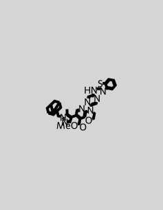 COC(=O)c1c(-c2cnn(CC34CC5CC(CC(C5)C3)C4)c2C)cnc2c1OCCN2c1cnc(Nc2nc3ccccc3s2)cn1